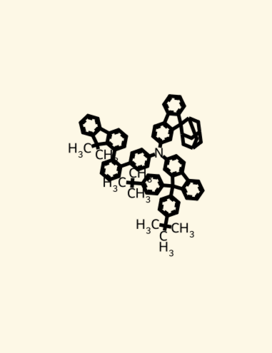 CC(C)(C)c1ccc(C2(c3ccc(C(C)(C)C)cc3)c3ccccc3-c3ccc(N(c4ccc(-c5ccccc5-c5cccc6c5C(C)(C)c5ccccc5-6)cc4)c4ccc5c(c4)C4(c6ccccc6-5)C5CC6CC(C5)CC4C6)cc32)cc1